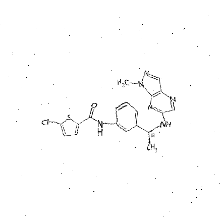 C[C@H](Nc1cnc2cnn(C)c2n1)c1cccc(NC(=O)c2ccc(Cl)s2)c1